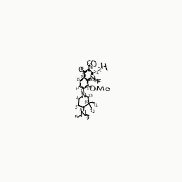 COc1c(N2CCC(N(C)C)C(C)(C)C2)ccc2c(=O)c(C(=O)O)cn(F)c12